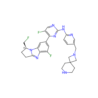 FC[C@@H]1CCc2nc3c(F)cc(-c4nc(Nc5ccc(CN6CC7(CCNCC7)C6)cn5)ncc4F)cc3n21